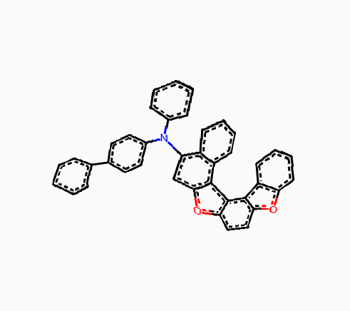 c1ccc(-c2ccc(N(c3ccccc3)c3cc4oc5ccc6oc7ccccc7c6c5c4c4ccccc34)cc2)cc1